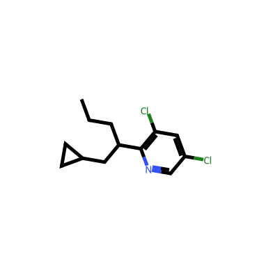 CCCC(CC1CC1)c1ncc(Cl)cc1Cl